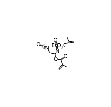 C=C(C)C(=O)OC(CN=C=O)N=C=O.C=C(C)C(=O)OCC